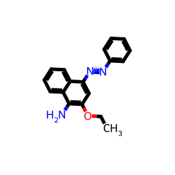 CCOc1cc(/N=N/c2ccccc2)c2ccccc2c1N